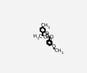 CCOc1cccc(C(=O)OO[C]2CC(C)CCC2C(C)C)c1